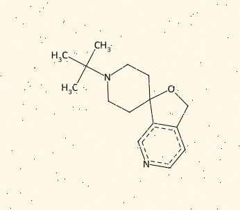 CC(C)(C)N1CCC2(CC1)OCc1ccncc12